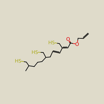 C=CCOC(=O)C=C(C=CCC(CS)CCCC(C)CS)CS